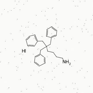 I.NCCCCC(Cc1ccccc1)(Cc1ccccc1)Cc1ccccc1